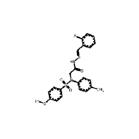 CCOc1ccc(S(=O)(=O)N(CC(=O)N/N=C/c2ccccc2F)c2ccc(C)cc2)cc1